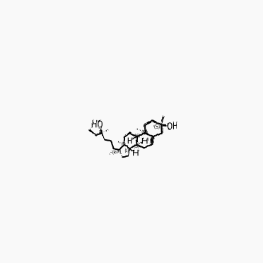 CC[C@@](C)(O)CC[C@@H](C)[C@H]1CC[C@H]2[C@@H]3CC=C4C[C@@](C)(O)CC[C@]4(C)[C@H]3CC[C@]12C